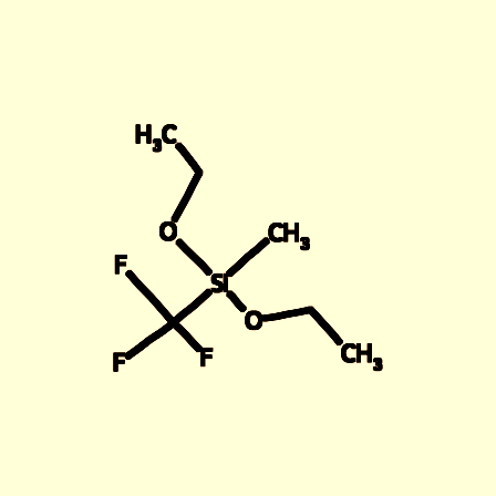 CCO[Si](C)(OCC)C(F)(F)F